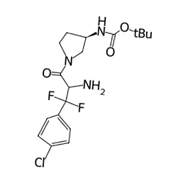 CC(C)(C)OC(=O)N[C@@H]1CCN(C(=O)C(N)C(F)(F)c2ccc(Cl)cc2)C1